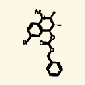 CC(=O)N1c2ccc(Br)cc2[C@H](OC(=O)OCc2ccccc2)[C@@H](C)[C@@H]1C